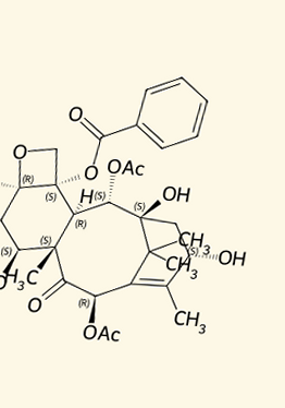 CC(=O)O[C@H]1C(=O)[C@@]2(C)[C@H]([C@H](OC(C)=O)[C@]3(O)C[C@H](O)C(C)=C1C3(C)C)[C@]1(OC(=O)c3ccccc3)CO[C@@H]1C[C@@H]2O